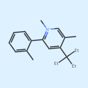 CCC(CC)(CC)c1cc(-c2ccccc2C)[n+](C)cc1C